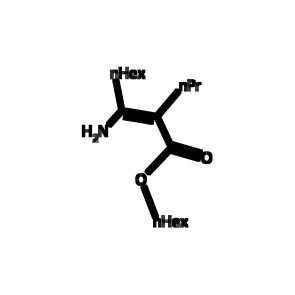 CCCCCCOC(=O)C(CCC)=C(N)CCCCCC